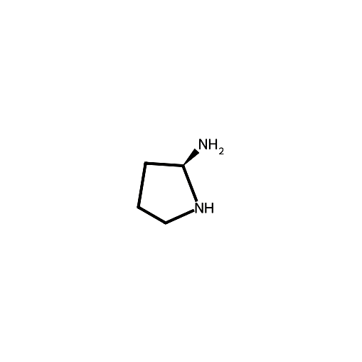 N[C@@H]1CCCN1